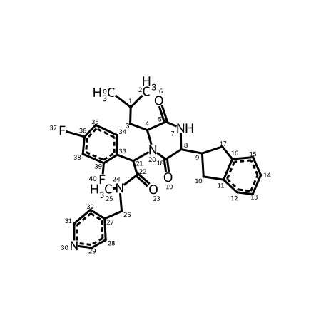 CC(C)CC1C(=O)NC(C2Cc3ccccc3C2)C(=O)N1C(C(=O)N(C)Cc1ccncc1)c1ccc(F)cc1F